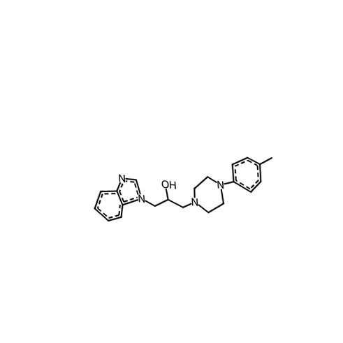 Cc1ccc(N2CCN(CC(O)Cn3cnc4ccccc43)CC2)cc1